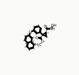 COC(=O)[C@]1(c2cccc(Oc3ccc4ccccc4c3)c2)C[C@H]1C(=O)NO